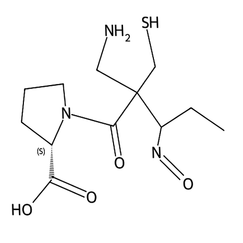 CCC(N=O)C(CN)(CS)C(=O)N1CCC[C@H]1C(=O)O